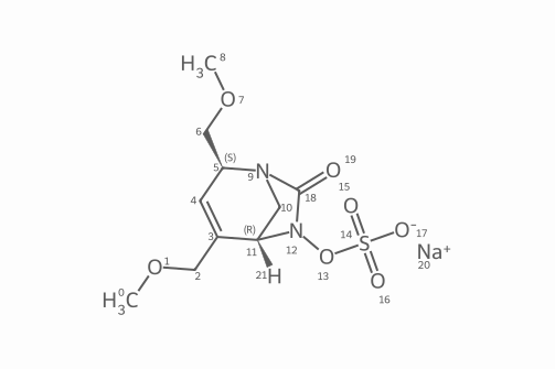 COCC1=C[C@@H](COC)N2C[C@@H]1N(OS(=O)(=O)[O-])C2=O.[Na+]